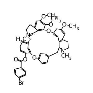 COC1=CC2=C3C=C(C1)Oc1c(OC)c(OC)cc4c1C(CC1=CCC=C(OC(=O)c5ccc(Br)cc5)C(=C1)Oc1ccc(cc1)CC3N(C)CC2)N(C)CC4